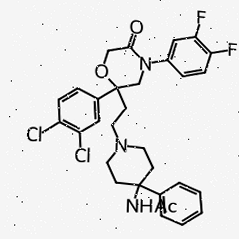 CC(=O)NC1(c2ccccc2)CCN(CCC2(c3ccc(Cl)c(Cl)c3)CN(c3ccc(F)c(F)c3)C(=O)CO2)CC1